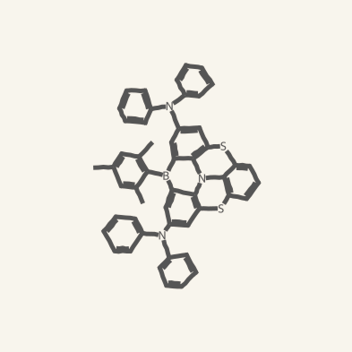 Cc1cc(C)c(B2c3cc(N(c4ccccc4)c4ccccc4)cc4c3N3c5c(cccc5Sc5cc(N(c6ccccc6)c6ccccc6)cc2c53)S4)c(C)c1